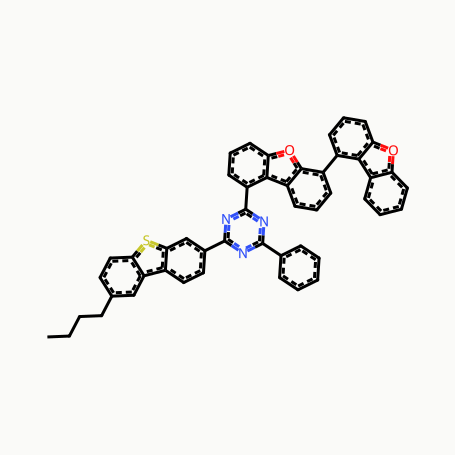 CCCCc1ccc2sc3cc(-c4nc(-c5ccccc5)nc(-c5cccc6oc7c(-c8cccc9oc%10ccccc%10c89)cccc7c56)n4)ccc3c2c1